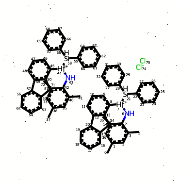 Cc1cc(C)c([NH][Hf+]([c]2cccc3c2Cc2ccccc2-3)[SiH](c2ccccc2)c2ccccc2)c(C)c1.Cc1cc(C)c([NH][Hf+]([c]2cccc3c2Cc2ccccc2-3)[SiH](c2ccccc2)c2ccccc2)c(C)c1.[Cl-].[Cl-]